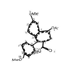 COC(=O)c1cc(OC(C)=O)c2cc(OC)ccc2c1-c1ccc(OC)cc1